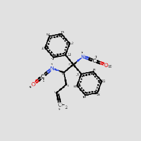 C=CCC(N=C=O)C(N=C=O)(c1ccccc1)c1ccccc1